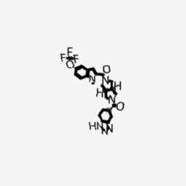 Cn1c(C(=O)N2C[C@H]3CN(C(=O)[C@@H]4CCc5[nH]nnc5C4)C[C@@H]3C2)cc2cc(OC(F)(F)F)ccc21